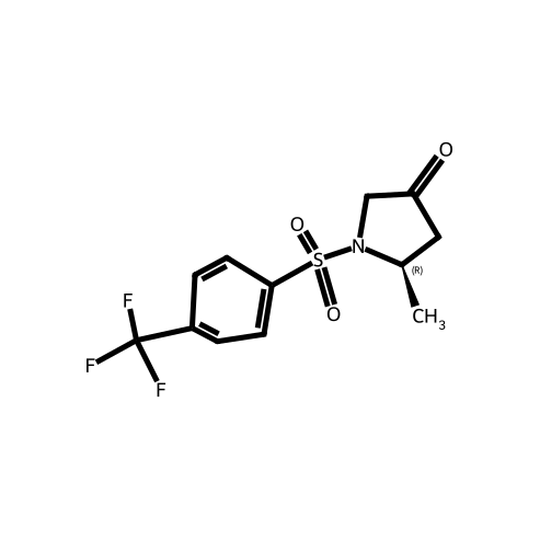 C[C@@H]1CC(=O)CN1S(=O)(=O)c1ccc(C(F)(F)F)cc1